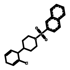 O=S(=O)(c1ccc2ccccc2c1)N1CCC(C2C=CCC=C2Cl)CC1